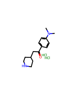 CN(C)c1ccc(C(=O)CC2CCNCC2)cc1.Cl.Cl